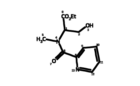 CCOC(=O)C(CO)N(C)C(=O)c1ccccn1